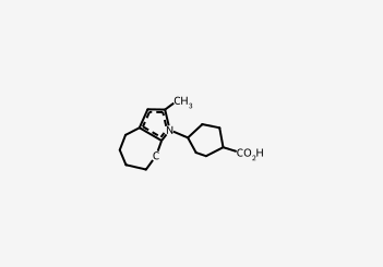 Cc1cc2c(n1C1CCC(C(=O)O)CC1)CCCCC2